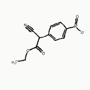 CCOC(=O)C(C#N)c1ccc([N+](=O)[O-])cc1